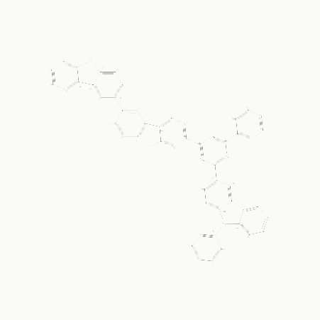 c1ccc(-c2nc(-c3ccc4c(c3)oc3ccc(-c5ccc6oc7ccccc7c6c5)cc34)nc(-c3ccc4c(c3)c3ccccc3n4-c3ccccc3)n2)cc1